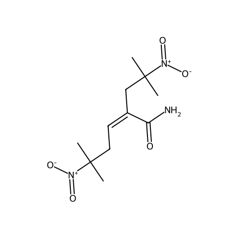 CC(C)(CC=C(CC(C)(C)[N+](=O)[O-])C(N)=O)[N+](=O)[O-]